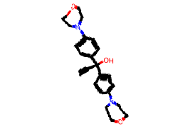 C#CC(O)(c1ccc(N2CCOCC2)cc1)c1ccc(N2CCOCC2)cc1